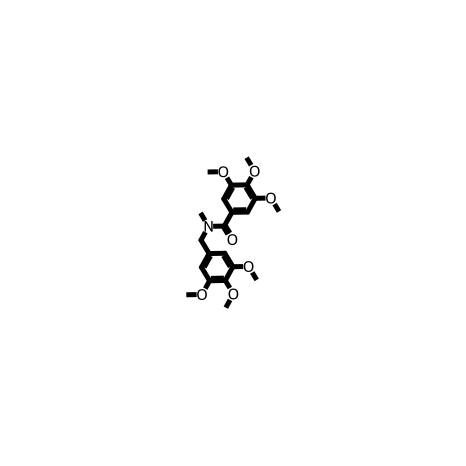 COc1cc(CN(C)C(=O)c2cc(OC)c(OC)c(OC)c2)cc(OC)c1OC